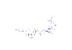 CN(C[C@H]1CC[C@H](n2cc(NC(=O)c3cnn4ccc(NCCC(C)(C)O)nc34)c(C(F)F)n2)CC1)[C@H]1CC[C@H](Nc2cccc3c2C(=O)N(C2CCC(=O)NC2=O)C3=O)CC1